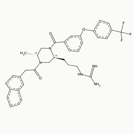 C[C@@H]1CN(C(=O)c2cccc(Oc3ccc(C(F)(F)F)cc3)c2)[C@@H](CCCNC(=N)N)CN1C(=O)Cc1ccc2ccccc2c1